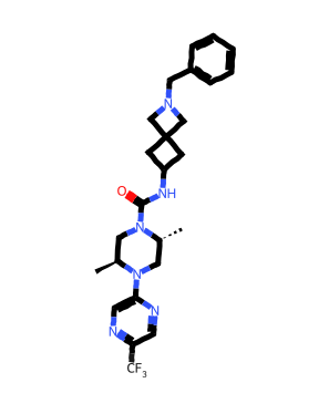 C[C@@H]1CN(c2cnc(C(F)(F)F)cn2)[C@@H](C)CN1C(=O)NC1CC2(C1)CN(Cc1ccccc1)C2